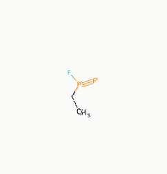 CCP(F)#P